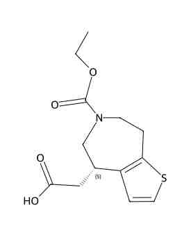 CCOC(=O)N1CCc2sccc2[C@H](CC(=O)O)C1